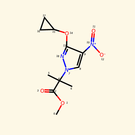 COC(=O)C(C)(C)n1cc([N+](=O)[O-])c(OC2CC2)n1